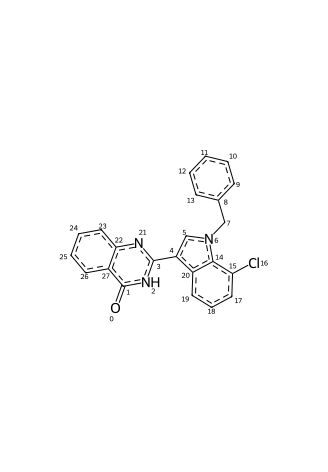 O=c1[nH]c(-c2cn(Cc3ccccc3)c3c(Cl)cccc23)nc2ccccc12